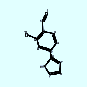 O=Cc1ccc(-c2cccs2)cc1Cl